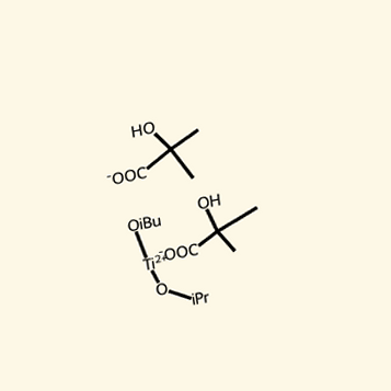 CC(C)(O)C(=O)[O-].CC(C)(O)C(=O)[O-].CC(C)C[O][Ti+2][O]C(C)C